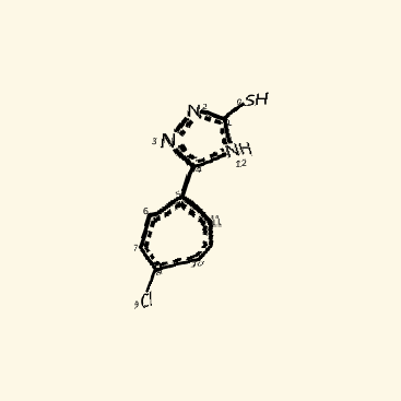 Sc1nnc(-c2ccc(Cl)cc2)[nH]1